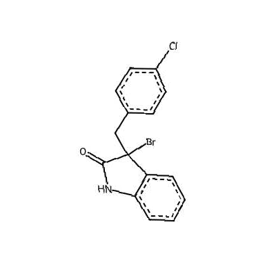 O=C1Nc2ccccc2C1(Br)Cc1ccc(Cl)cc1